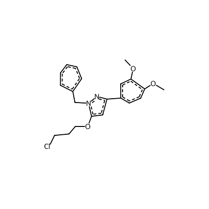 COc1ccc(-c2cc(OCCCCl)n(Cc3ccccc3)n2)cc1OC